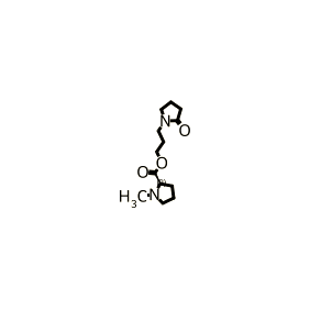 CN1CCC[C@@H]1C(=O)OCCCN1CCCC1=O